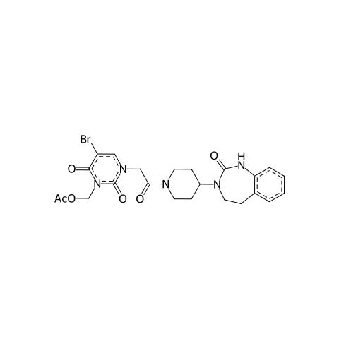 CC(=O)OCn1c(=O)c(Br)cn(CC(=O)N2CCC(N3CCc4ccccc4NC3=O)CC2)c1=O